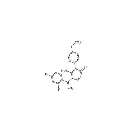 C=C(c1ccc(F)cc1F)c1ccc(=O)n(-c2ccc(CC(=O)O)cc2)c1N